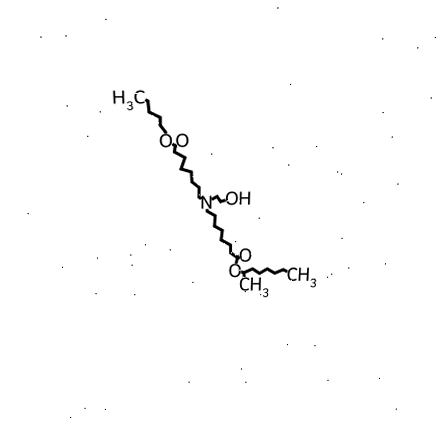 CCCCCCOC(=O)CCCCCCCN(CCO)CCCCCCCC(=O)OC(C)CCCCCC